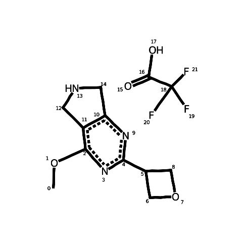 COc1nc(C2COC2)nc2c1CNC2.O=C(O)C(F)(F)F